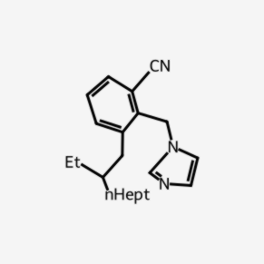 CCCCCCCC(CC)Cc1cccc(C#N)c1Cn1ccnc1